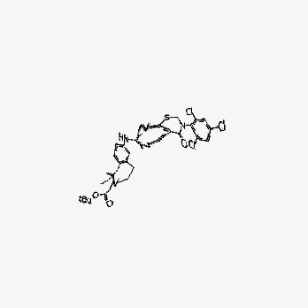 CC(C)(C)OC(=O)N1CCc2cc(Nc3ncc4c(n3)SCN(c3c(Cl)cc(Cl)cc3Cl)C4=O)ccc2C1(C)C